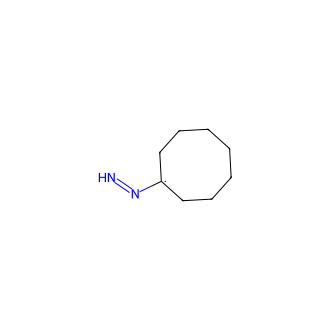 N=N[C]1CCCCCCC1